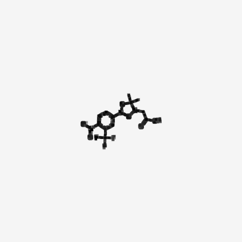 CC1(C)ON(c2ccc([N+](=O)[O-])c(C(F)(F)F)c2)ON1CC(=O)O